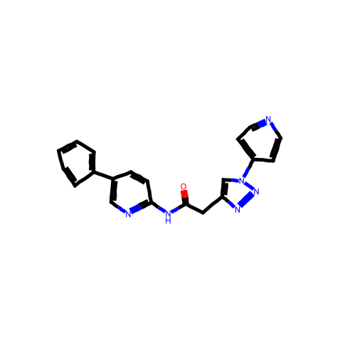 O=C(Cc1cn(-c2ccncc2)nn1)Nc1ccc(-c2ccccc2)cn1